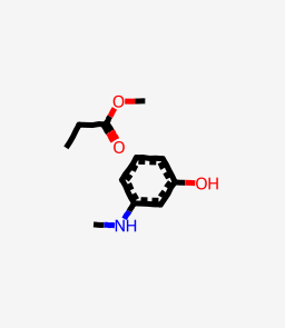 CCC(=O)OC.CNc1cccc(O)c1